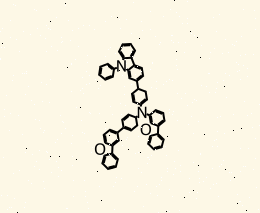 C1=CC(N(C2=CCC(c3ccc4c5ccccc5n(-c5ccccc5)c4c3)C=C2)c2cccc3c2oc2ccccc23)CC=C1c1ccc2oc3ccccc3c2c1